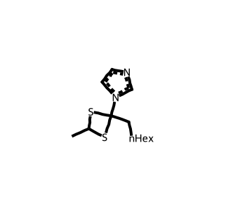 CCCCCCCC1(n2ccnc2)SC(C)S1